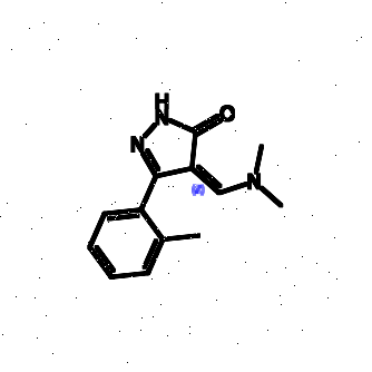 Cc1ccccc1C1=NNC(=O)/C1=C\N(C)C